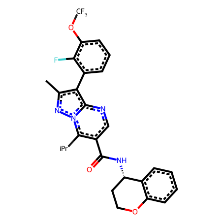 Cc1nn2c(C(C)C)c(C(=O)N[C@H]3CCOc4ccccc43)cnc2c1-c1cccc(OC(F)(F)F)c1F